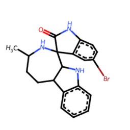 CC1CCC2c3ccccc3NC2C2(N1)C(=O)Nc1ccc(Br)cc12